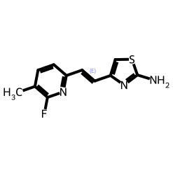 Cc1ccc(/C=C/c2csc(N)n2)nc1F